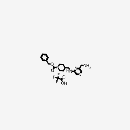 NCc1cncc(NCC2CCN(C(=O)OCc3ccccc3)CC2)n1.O=C(O)C(F)(F)F